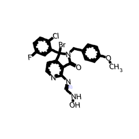 COc1ccc(CN2C(=O)c3c(ccnc3/N=C/NO)C2(Br)c2cc(F)ccc2Cl)cc1